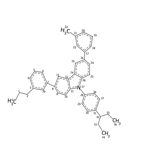 CCCc1cccc(-c2ccc3c(c2)c2cc(-c4cccc(C)c4)ccc2n3-c2ccc(C(CC)CC)cc2)c1